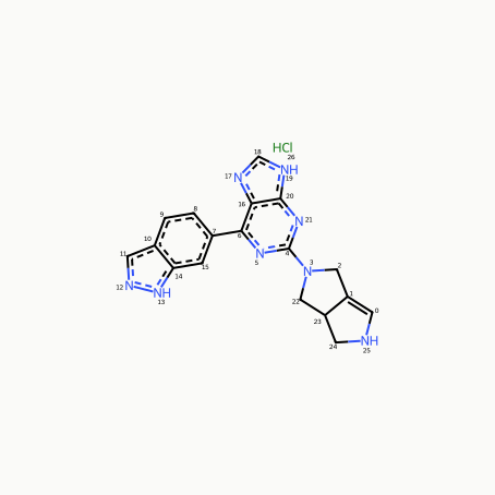 C1=C2CN(c3nc(-c4ccc5cn[nH]c5c4)c4nc[nH]c4n3)CC2CN1.Cl